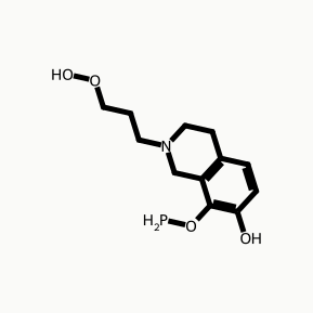 OOCCCN1CCc2ccc(O)c(OP)c2C1